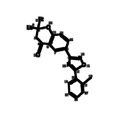 CCC1(CC)CC(=O)c2cc(-c3noc(-c4ccccc4C)n3)ccc2O1